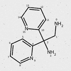 NCC(N)(c1ccccn1)c1ccccn1